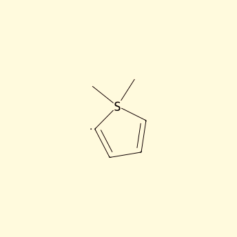 CS1(C)[C]=CC=C1